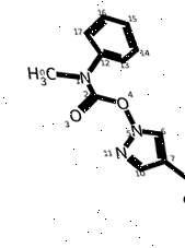 CN(C(=O)On1cc(CO)cn1)c1ccccc1